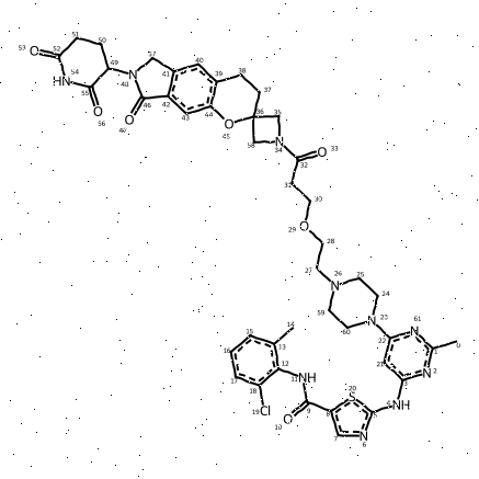 Cc1nc(Nc2ncc(C(=O)Nc3c(C)cccc3Cl)s2)cc(N2CCN(CCOCCC(=O)N3CC4(CCc5cc6c(cc5O4)C(=O)N(C4CCC(=O)NC4=O)C6)C3)CC2)n1